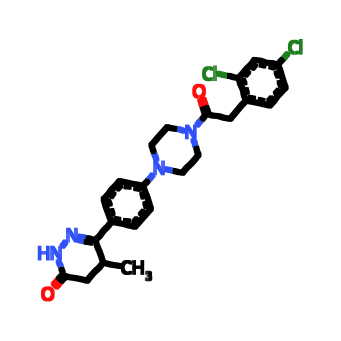 CC1CC(=O)NN=C1c1ccc(N2CCN(C(=O)Cc3ccc(Cl)cc3Cl)CC2)cc1